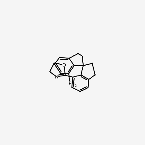 Pc1cccc2c1C1(CC2)CCc2cccc(C3=NCCO3)c21